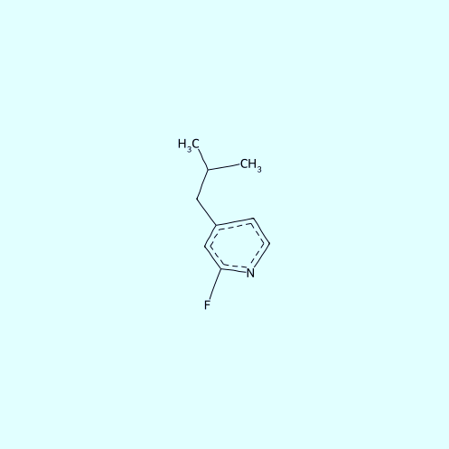 CC(C)Cc1ccnc(F)c1